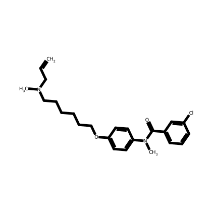 C=CCN(C)CCCCCCOc1ccc(N(C)C(=O)c2cccc(Cl)c2)cc1